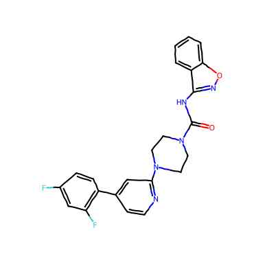 O=C(Nc1noc2ccccc12)N1CCN(c2cc(-c3ccc(F)cc3F)ccn2)CC1